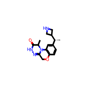 CC1C(=O)NN=C2COc3ccc([C@@H](C)C4CNC4)cc3N21